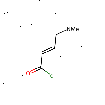 CNC/C=C/C(=O)Cl